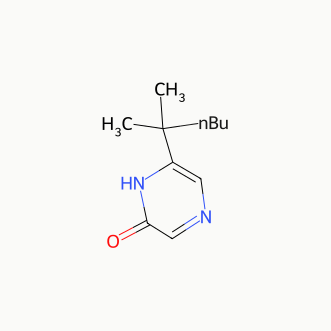 CCCCC(C)(C)c1cncc(=O)[nH]1